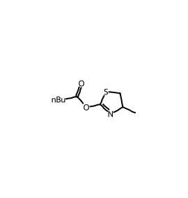 CCCCC(=O)OC1=NC(C)CS1